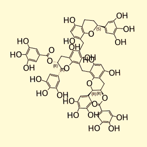 O=C(O[C@@H]1Cc2c(O)cc(O)c(Cc3c(O)c(Cc4c(O)cc(O)c5c4O[C@H](c4cc(O)c(O)c(O)c4)CC5)c(O)c4c3O[C@H](c3cc(O)c(O)c(O)c3)[C@H](OC(=O)c3cc(O)c(O)c(O)c3)C4)c2O[C@@H]1c1cc(O)c(O)c(O)c1)c1cc(O)c(O)c(O)c1